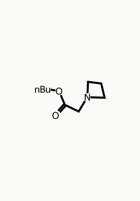 CCCCOC(=O)CN1CCC1